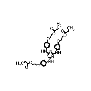 C=CC(=O)OCCOc1ccc(Nc2nc(Nc3ccc(OCCOC(=O)C=C)cc3)nc(Nc3ccc(OCCOC(=O)C=C)cc3)n2)cc1